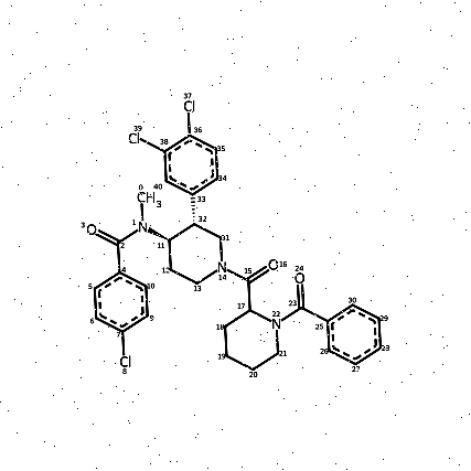 CN(C(=O)c1ccc(Cl)cc1)[C@@H]1CCN(C(=O)C2CCCCN2C(=O)c2ccccc2)C[C@H]1c1ccc(Cl)c(Cl)c1